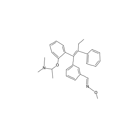 CCC(=C(c1cccc(C=NOC)c1)c1ccccc1OC(C)N(C)C)c1ccccc1